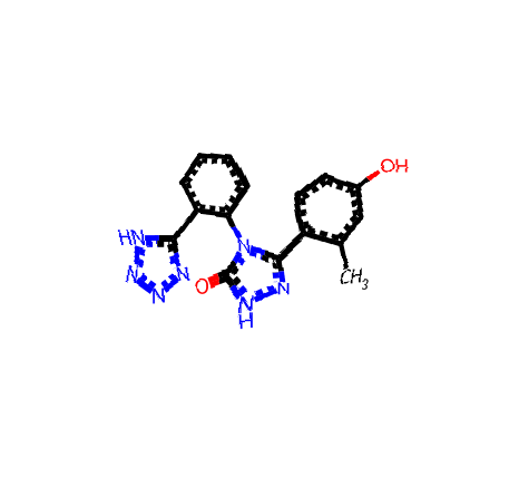 Cc1cc(O)ccc1-c1n[nH]c(=O)n1-c1ccccc1-c1nnn[nH]1